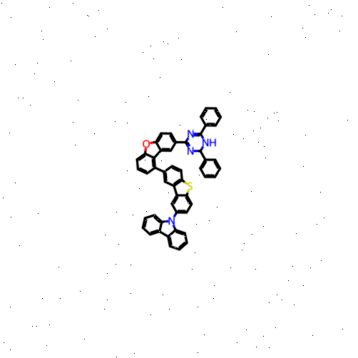 c1ccc(C2=NC(c3ccc4oc5cccc(-c6ccc7sc8ccc(-n9c%10ccccc%10c%10ccccc%109)cc8c7c6)c5c4c3)=NC(c3ccccc3)N2)cc1